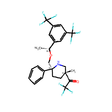 C[C@@H](OC[C@@]1(c2ccccc2)CC[C@@](C)(C(=O)C(F)(F)F)CN1)c1cc(C(F)(F)F)cc(C(F)(F)F)c1